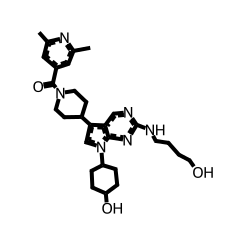 Cc1cc(C(=O)N2CCC(c3cn(C4CCC(O)CC4)c4nc(NCCCCO)ncc34)CC2)cc(C)n1